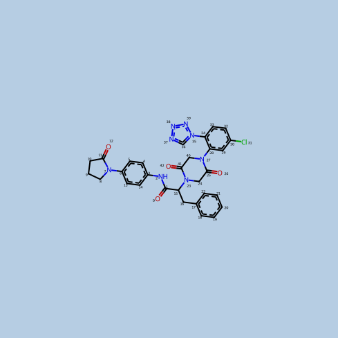 O=C(Nc1ccc(N2CCCC2=O)cc1)C(Cc1ccccc1)N1CC(=O)N(c2cc(Cl)ccc2-n2cnnn2)CC1=O